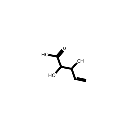 C=CC(O)C(O)C(=O)O